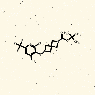 Cc1cc(C(F)(F)F)nc(C)c1SN1CC2(C1)CN(C(=O)OC(C)(C)C)C2